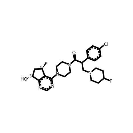 C[C@@H]1C[C@@H](O)c2ncnc(N3CCN(C(=O)C(CN4CCC(F)CC4)c4ccc(Cl)cc4)CC3)c21